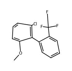 COc1cccc(Cl)c1-c1ccccc1C(F)(F)F